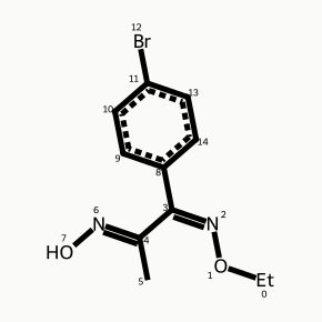 CCON=C(C(C)=NO)c1ccc(Br)cc1